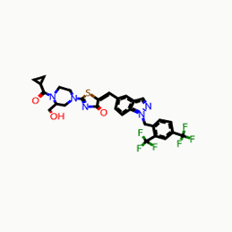 O=C1N=C(N2CCN(C(=O)C3CC3)C(CO)C2)S/C1=C/c1ccc2c(cnn2Cc2ccc(C(F)(F)F)cc2C(F)(F)F)c1